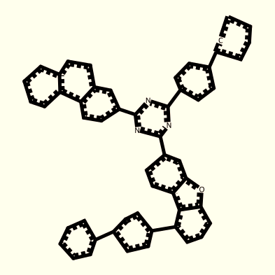 c1ccc(-c2ccc(-c3nc(-c4ccc5c(ccc6ccccc65)c4)nc(-c4ccc5c(c4)oc4cccc(-c6ccc(-c7ccccc7)cc6)c45)n3)cc2)cc1